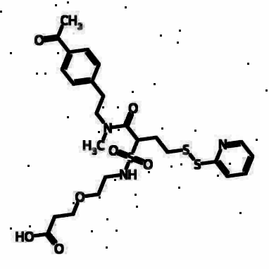 CC(=O)c1ccc(CCN(C)C(=O)C(CCSSc2ccccn2)S(=O)(=O)NCCOCCC(=O)O)cc1